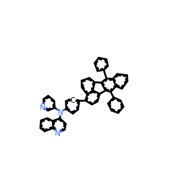 c1ccc(-c2c3c(c(-c4ccccc4)c4ccccc24)-c2ccc(-c4ccc(N(c5cccnc5)c5ccnc6ccccc56)cc4)c4cccc-3c24)cc1